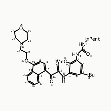 CCCCCNC(=O)Nc1cc(C(C)(C)C)cc(NC(=O)C(=O)c2ccc(OCCN3CCOCC3)c3ccccc23)c1OC